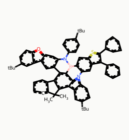 CC(C)(C)c1ccc(N2B3c4cc5sc(-c6ccccc6)c(-c6ccccc6)c5cc4-n4c5ccc(C(C)(C)C)cc5c5c6c(c(c3c54)-c3cc4c(cc32)oc2ccc(C(C)(C)C)cc24)-c2ccccc2C6(C)C)cc1